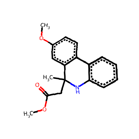 COC(=O)CC1(C)Nc2ccccc2-c2ccc(OC)cc21